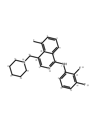 Cc1cccc2c(Nc3cccc(F)c3F)ncc(CN3CCCCC3)c12